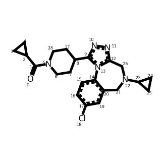 O=C(C1CC1)N1CCC(c2nnc3n2-c2ccc(Cl)cc2CN(C2CC2)C3)CC1